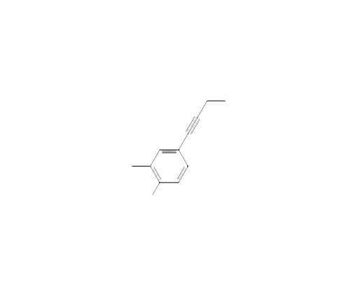 CCC#Cc1ccc(F)c(C)c1